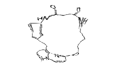 O=C1CCC(=O)Nc2cccc(c2)-c2cnn3ccc(nc23)OCCCN1